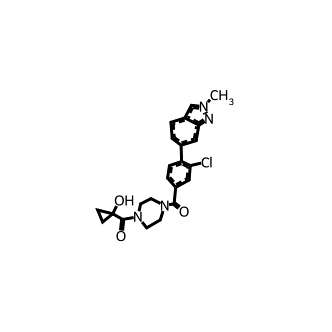 Cn1cc2ccc(-c3ccc(C(=O)N4CCN(C(=O)C5(O)CC5)CC4)cc3Cl)cc2n1